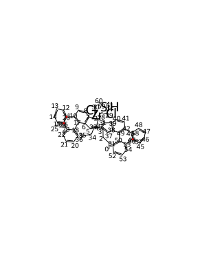 CCCCC1=Cc2c(ccc(-c3ccccc3)c2-c2ccccc2C(C)C)[CH]1[Zr]([Cl])([Cl])([CH]1C(CCCC)=Cc2c1ccc(-c1ccccc1)c2-c1ccccc1C(C)C)[SiH](C)C